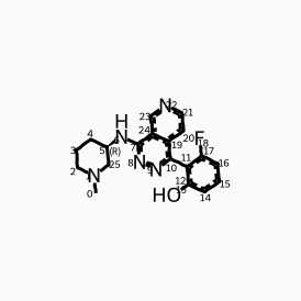 CN1CCC[C@@H](Nc2nnc(-c3c(O)cccc3F)c3ccncc23)C1